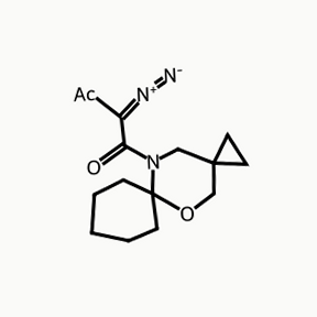 CC(=O)C(=[N+]=[N-])C(=O)N1CC2(CC2)COC12CCCCC2